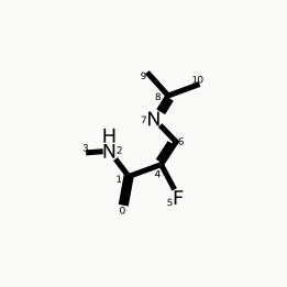 C=C(NC)/C(F)=C\N=C(C)C